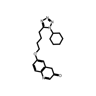 O=C1C=Nc2ccc(OCCCCc3nnnn3C3CCCCC3)cc2C1